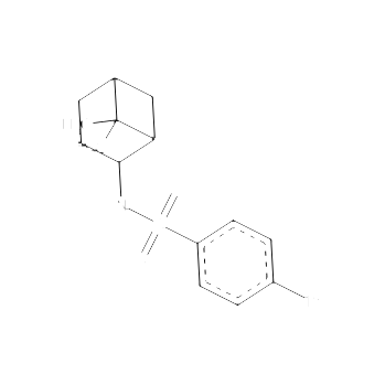 CC1(C)C2CCC(NS(=O)(=O)c3ccc(Br)cc3)C1C2